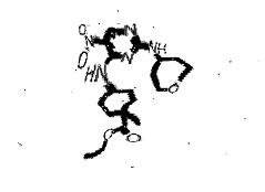 CCOC(=O)C1(C)CCC(Nc2nc(NC3CCOCC3)ncc2[N+](=O)[O-])CC1